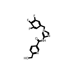 O=C(Nc1cn(Cc2cc(F)c(F)c(F)c2)cn1)c1ccc(CO)nc1